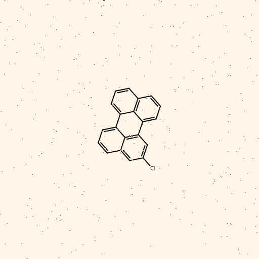 Clc1[c]c2c3cccc4cccc(c5cccc(c1)c25)c43